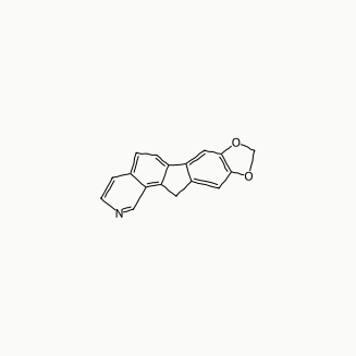 c1cc2ccc3c(c2cn1)Cc1cc2c(cc1-3)OCO2